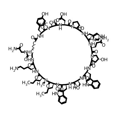 CCCC[C@H]1C(=O)N(C)[C@@H](CCCC)C(=O)N[C@@H](CCCCN)C(=O)N[C@H](C(=O)NCC(N)=O)CSCC(=O)N[C@@H](Cc2ccc(O)cc2)C(=O)N(C)[C@@H](C)C(=O)N[C@@H](CC(=O)O)C(=O)N2CCC[C@H]2C(=O)N[C@@H](Cc2c[nH]cn2)C(=O)N[C@@H](CCC(N)=O)C(=O)N2C[C@H](O)C[C@H]2C(=O)N[C@@H](Cc2c[nH]c3ccccc23)C(=O)N[C@@H](CO)C(=O)N[C@@H](Cc2c[nH]c3ccccc23)C(=O)N1C